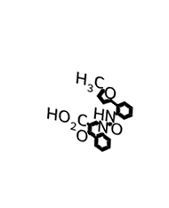 Cc1ccc(-c2ccccc2NC(=O)n2cc(C(=O)O)c(=O)c3ccccc32)o1